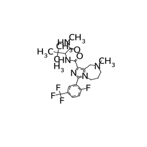 CNC(=O)C(NC(=O)c1nc(-c2cc(C(F)(F)F)ccc2F)n2c1CN(C)CCC2)C(C)(C)C